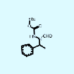 CC(c1ccccc1)[C@@H](C=O)NC(=O)OC(C)(C)C